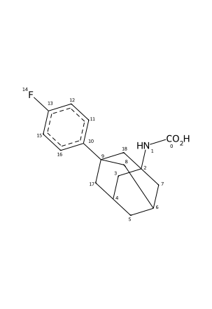 O=C(O)NC12CC3CC(C1)CC(c1ccc(F)cc1)(C3)C2